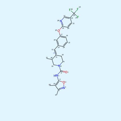 Cc1noc(NC(=O)N2CC/C(=C\c3cccc(Oc4ccc(C(F)(F)F)cn4)c3)C(C)C2)c1C